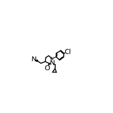 N#CCC1CC[C@@H](c2ccc(Cl)cc2)N(CC2CC2)C1=O